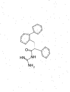 N=C(N)NC(=O)[C@H](Cc1ccccc1-c1ccccc1)c1ccccc1